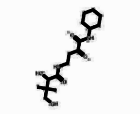 CC(C)(CO)C(O)C(=O)NCCC(=O)C(=O)NC1CCCCC1